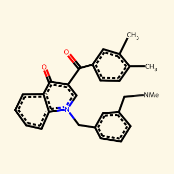 CNCc1cccc(Cn2cc(C(=O)c3ccc(C)c(C)c3)c(=O)c3ccccc32)c1